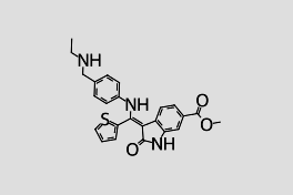 CCNCc1ccc(NC(=C2C(=O)Nc3cc(C(=O)OC)ccc32)c2cccs2)cc1